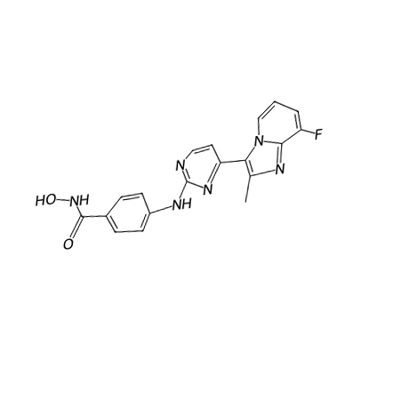 Cc1nc2c(F)cccn2c1-c1ccnc(Nc2ccc(C(=O)NO)cc2)n1